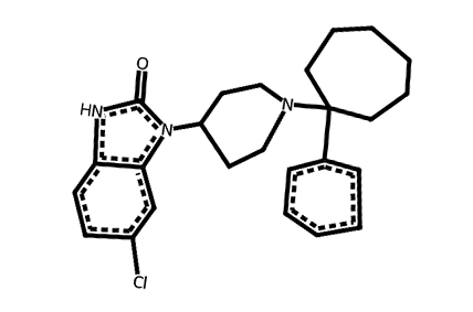 O=c1[nH]c2ccc(Cl)cc2n1C1CCN(C2(c3ccccc3)CCCCCC2)CC1